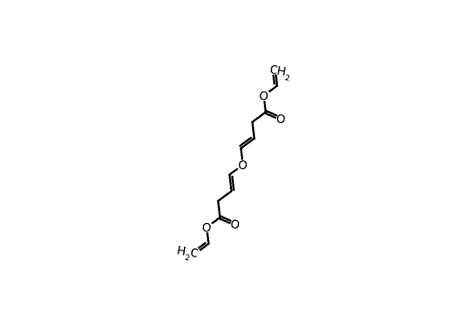 C=COC(=O)CC=COC=CCC(=O)OC=C